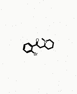 CN1CCCCC1CC(=O)c1ccccc1Br